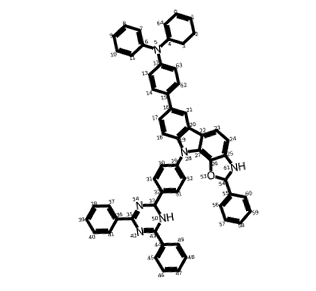 C1=CCCC(N(c2ccccc2)c2ccc(-c3ccc4c(c3)c3ccc5c(c3n4-c3ccc(C4N=C(c6ccccc6)N=C(c6ccccc6)N4)cc3)OC(c3ccccc3)N5)cc2)=C1